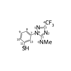 CNc1nc(C(F)(F)F)nn1-c1cccc(S)c1